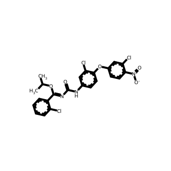 CC(C)OC(=NC(=O)Nc1ccc(Oc2ccc([N+](=O)[O-])c(Cl)c2)c(Cl)c1)c1ccccc1Cl